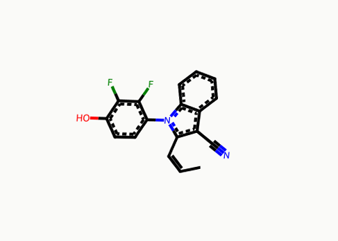 C/C=C\c1c(C#N)c2ccccc2n1-c1ccc(O)c(F)c1F